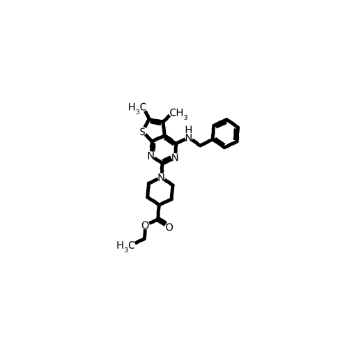 CCOC(=O)C1CCN(c2nc(NCc3ccccc3)c3c(C)c(C)sc3n2)CC1